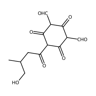 CC(CO)CC(=O)C1C(=O)C(C=O)C(=O)C(C=O)C1=O